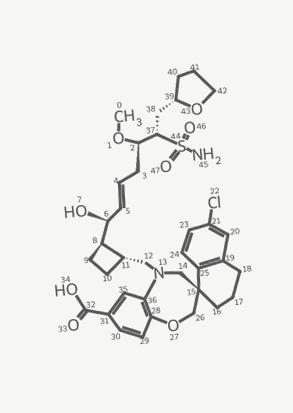 CO[C@H](C/C=C/[C@H](O)[C@@H]1CC[C@H]1CN1C[C@@]2(CCCc3cc(Cl)ccc32)COc2ccc(C(=O)O)cc21)[C@H](C[C@@H]1CCCO1)S(N)(=O)=O